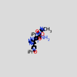 CC(C)C(=O)N1CCC(c2cc(-c3ccc(-c4c(C(N)=O)c(=O)n(-c5cnn(C)c5)c(=O)n4C(C)C)cc3)c3c(N)ncnn23)CC1